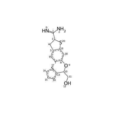 N=C(N)C1Cc2ccc(OC(CO)c3cccs3)cc2S1